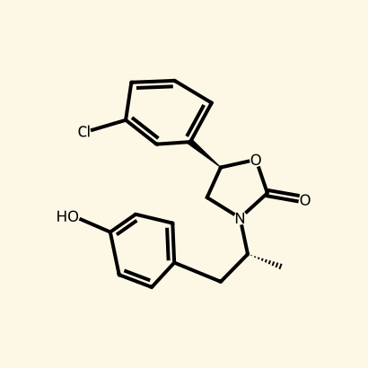 C[C@H](Cc1ccc(O)cc1)N1C[C@@H](c2cccc(Cl)c2)OC1=O